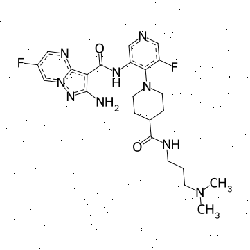 CN(C)CCCNC(=O)C1CCN(c2c(F)cncc2NC(=O)c2c(N)nn3cc(F)cnc23)CC1